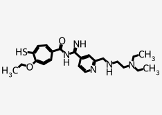 CCOC1=C=CC(C(=O)NC(=N)c2ccnc(CNCCN(CC)CC)c2)=CC=C1S